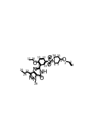 C=CCOC1CCN(S(=O)(=O)c2ccc(OCC)c(-c3nc4c(CCC)nn(C)c4c(=O)[nH]3)c2)CC1